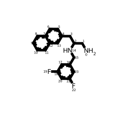 NCC(Cc1ccc2ccccc2c1)NCc1cc(F)cc(F)c1